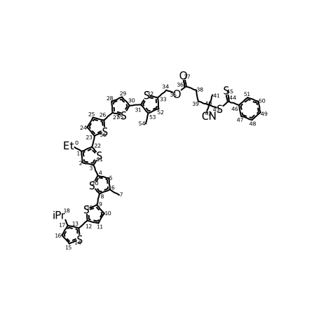 CCc1cc(-c2cc(C)c(-c3ccc(-c4sccc4C(C)C)s3)s2)sc1-c1ccc(-c2ccc(-c3sc(COC(=O)CCC(C)(C#N)SC(=S)c4ccccc4)cc3C)s2)s1